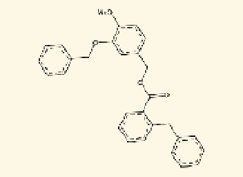 COc1ccc(COC(=O)c2ccccc2Cc2ccccc2)cc1OCc1ccccc1